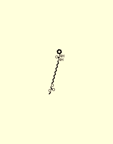 CCOC(=O)COCCCCCCCCCCCCCNC(=O)Nc1ccccc1